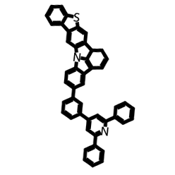 C1=Cc2c3n(c4ccc(-c5cccc(-c6cc(-c7ccccc7)nc(-c7ccccc7)c6)c5)cc24)-c2cc4c(cc2C3C1)sc1ccccc14